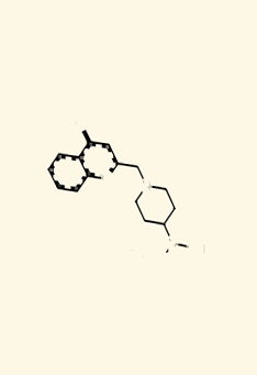 CCOC(=O)N(C)C1CCN(Cc2cc(=O)c3ccccc3o2)CC1